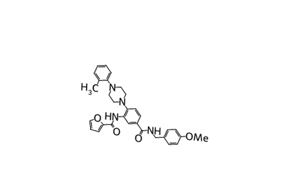 COc1ccc(CNC(=O)c2ccc(N3CCN(c4ccccc4C)CC3)c(NC(=O)c3ccco3)c2)cc1